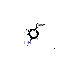 COc1ccc(N)cc1.[Pt]